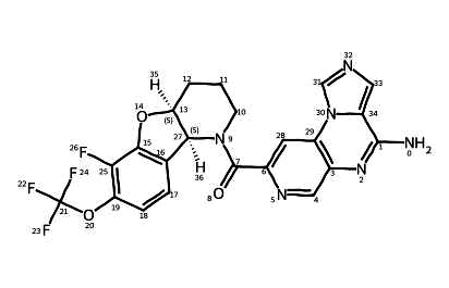 Nc1nc2cnc(C(=O)N3CCC[C@@H]4Oc5c(ccc(OC(F)(F)F)c5F)[C@@H]43)cc2n2cncc12